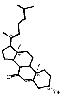 CC(C)CCC[C@H](C)C1CCC2C3C(=O)C=C4C[C@@H](O)CC[C@]4(C)C3CC[C@@]21C